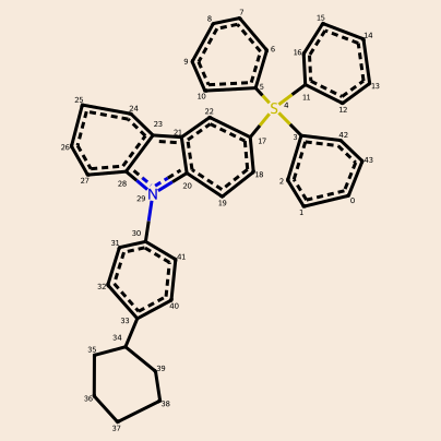 c1ccc(S(c2ccccc2)(c2ccccc2)c2ccc3c(c2)c2ccccc2n3-c2ccc(C3CCCCC3)cc2)cc1